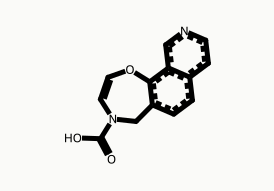 O=C(O)N1C=COc2c(ccc3ccncc23)C1